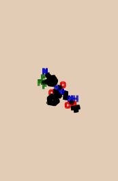 CC(C)(C)OC(=O)NCCN1C(=O)N(c2ccc(C#N)c(C(F)(F)F)c2)C(=O)C1(C)c1cc[c]cc1